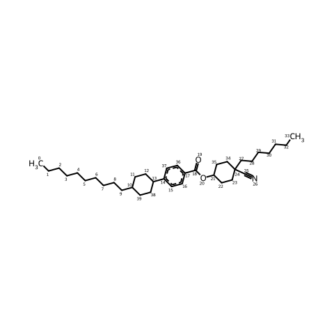 CCCCCCCCCCC1CCC(c2ccc(C(=O)OC3CCC(C#N)(CCCCCCC)CC3)cc2)CC1